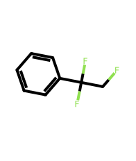 FCC(F)(F)c1ccccc1